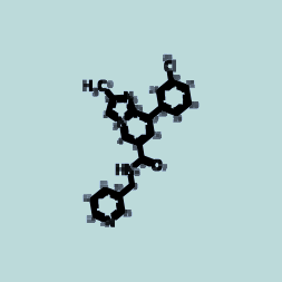 Cc1cn2cc(C(=O)NCc3cccnc3)cc(-c3cccc(Cl)c3)c2n1